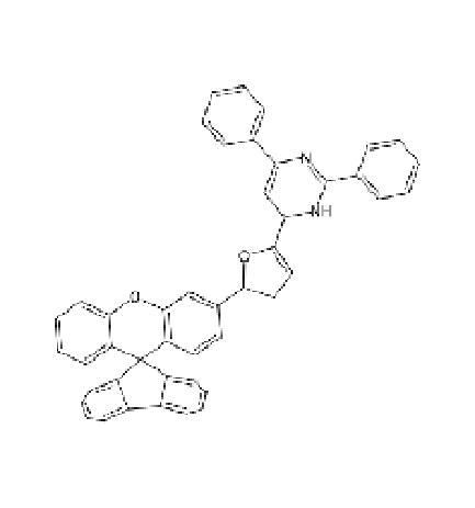 C1=C(c2ccccc2)N=C(c2ccccc2)NC1C1=CCC(c2ccc3c(c2)Oc2ccccc2C32c3ccccc3-c3ccccc32)O1